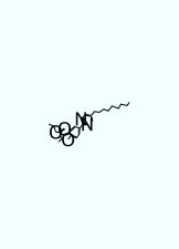 CCCCCCCCCc1cnc(-c2ccc(OC(C)C(=O)OCC)cc2)nc1